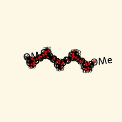 COCCOc1ccc(OCCOOCCOc2ccc(OCCOOCCOc3ccc(OCCOOCCOc4ccc(OCCOOCCOc5ccc(OCCOC)c6c(=O)c7ccccc7sc56)c5c(=O)c6ccccc6sc45)c4c(=O)c5ccccc5sc34)c3c(=O)c4ccccc4sc23)c2c(=O)c3ccccc3sc12